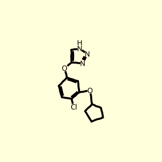 Clc1ccc(Oc2c[nH]nn2)cc1OC1CCCC1